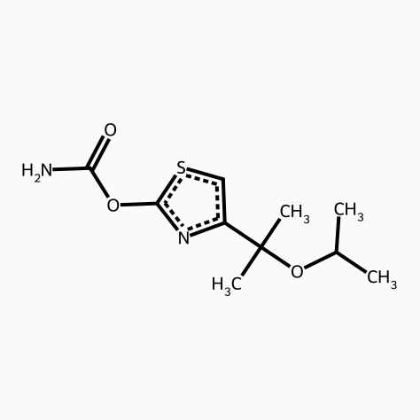 CC(C)OC(C)(C)c1csc(OC(N)=O)n1